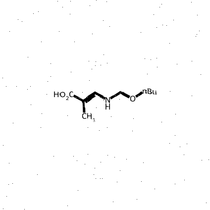 CCCCOCNC=C(C)C(=O)O